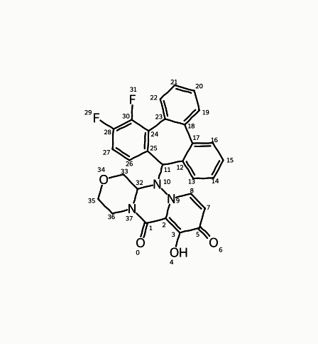 O=C1c2c(O)c(=O)ccn2N(C2c3ccccc3-c3ccccc3-c3c2ccc(F)c3F)C2COCCN12